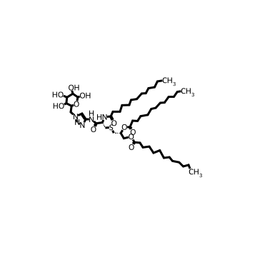 CCCCCCCCCCCCC(=O)N[C@H](CSC[C@@H](COC(=O)CCCCCCCCCCCC)OC(=O)CCCCCCCCCCCC)C(=O)Nc1cn(CC2OC(O)C(O)C(O)C2O)nn1